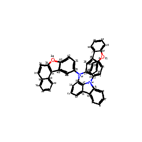 c1ccc(-n2c3ccccc3c3cccc(N(c4ccc5oc6ccccc6c5c4)c4ccc5oc6ccc7ccccc7c6c5c4)c32)cc1